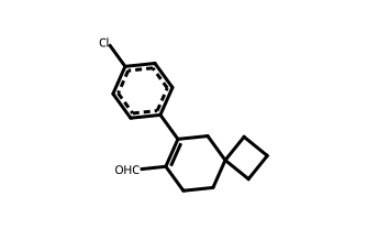 O=CC1=C(c2ccc(Cl)cc2)CC2(CCC2)CC1